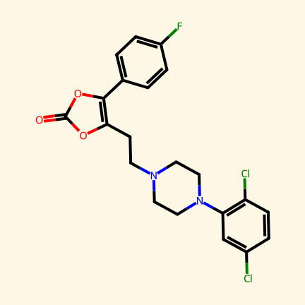 O=c1oc(CCN2CCN(c3cc(Cl)ccc3Cl)CC2)c(-c2ccc(F)cc2)o1